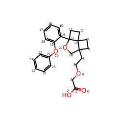 O=C(O)COCCC12CCC13CCC3(c1ccccc1Oc1ccccc1)OC2